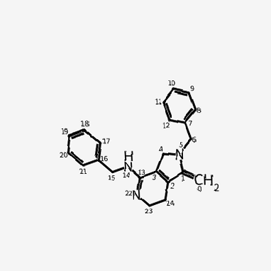 C=C1C2=C(CN1Cc1ccccc1)C(NCc1ccccc1)=NCC2